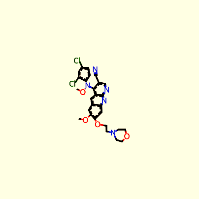 COc1cc2cc3c(N(OC)c4ccc(Cl)cc4Cl)c(C#N)cnc3nc2cc1OCCN1CCOCC1